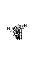 [2H]C([2H])(Oc1cc(F)cc(F)c1C([2H])([2H])C([2H])([2H])[2H])C(=O)N(CC(=O)NN)Cc1ccc(C#N)cc1F